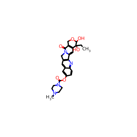 CC[C@]1(O)c2cc3n(c(=O)c2COC1O)Cc1cc2cc(OC(=O)N4CCN(C)CC4)ccc2nc1-3